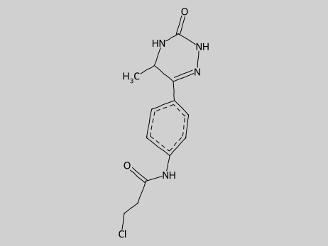 CC1NC(=O)NN=C1c1ccc(NC(=O)CCCl)cc1